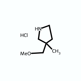 COCC1(C)CCNC1.Cl